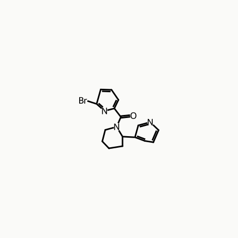 O=C(c1cccc(Br)n1)N1CCCCC1c1cccnc1